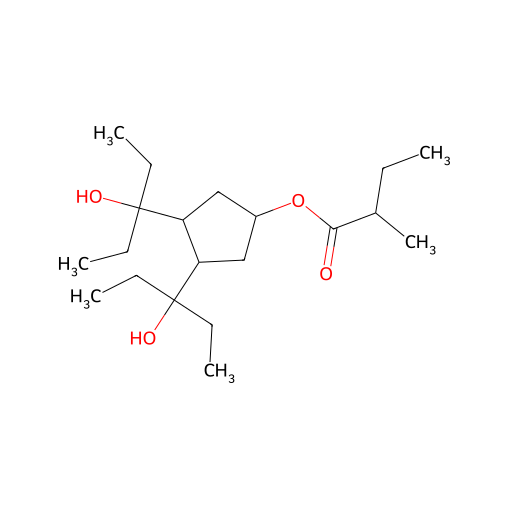 CCC(C)C(=O)OC1CC(C(O)(CC)CC)C(C(O)(CC)CC)C1